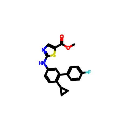 COC(=O)c1cnc(Nc2ccc(C3CC3)c(-c3ccc(F)cc3)c2)s1